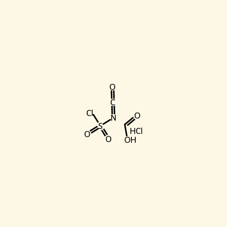 Cl.O=C=NS(=O)(=O)Cl.O=CO